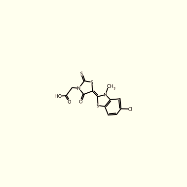 CN1/C(=C2\SC(=S)N(CC(=O)O)C2=O)Sc2ccc(Cl)cc21